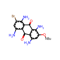 CCCCOc1cc(N)c2c(c1N)C(=O)c1c(N)c(Br)cc(N)c1C2=O